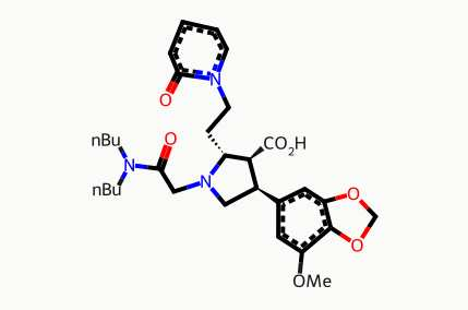 CCCCN(CCCC)C(=O)CN1C[C@H](c2cc(OC)c3c(c2)OCO3)[C@H](C(=O)O)[C@H]1CCn1ccccc1=O